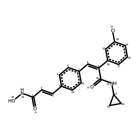 O=C(C=Cc1ccc(C=C(C(=O)NC2CC2)c2cccc(Cl)c2)cc1)NO